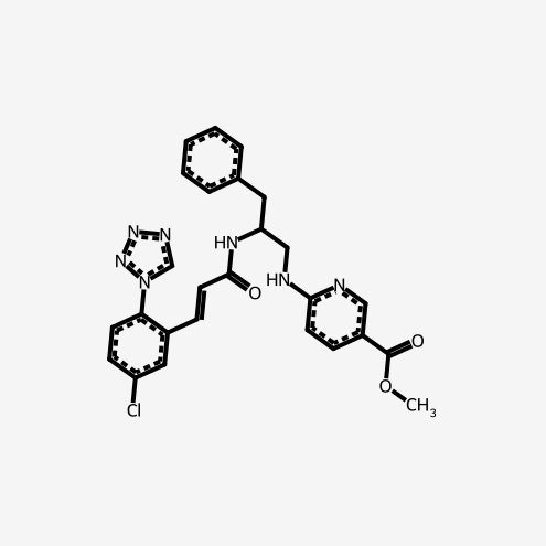 COC(=O)c1ccc(NCC(Cc2ccccc2)NC(=O)C=Cc2cc(Cl)ccc2-n2cnnn2)nc1